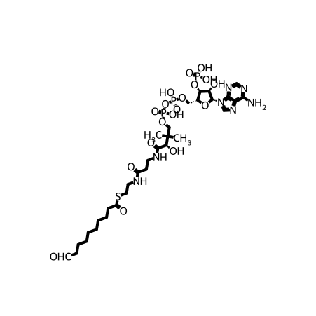 CC(C)(COP(=O)(O)OP(=O)(O)OC[C@H]1O[C@@H](n2cnc3c(N)ncnc32)[C@H](O)[C@@H]1OP(=O)(O)O)[C@@H](O)C(=O)NCCC(=O)NCCSC(=O)CCCCCCCCC=O